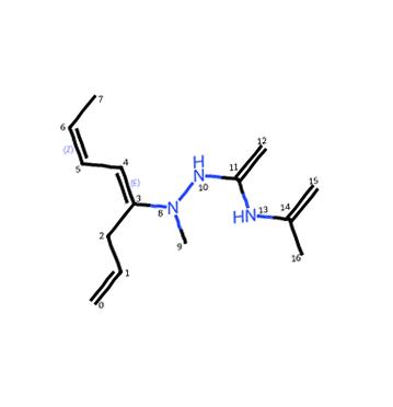 C=CC/C(=C\C=C/C)N(C)NC(=C)NC(=C)C